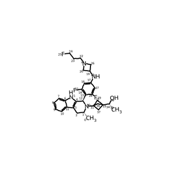 C[C@@H]1Cc2c([nH]c3ccccc23)[C@@H](c2c(F)cc(NC3CN(CCCF)C3)cc2F)N1C12CC([C@@H](C)O)(C1)C2